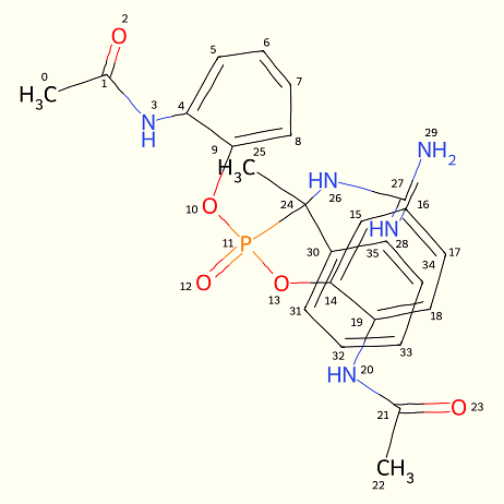 CC(=O)Nc1ccccc1OP(=O)(Oc1ccccc1NC(C)=O)C(C)(NC(=N)N)c1ccccc1